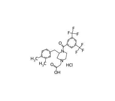 Cc1ccc(CC2CN(CC(=O)O)CCN2C(=O)c2cc(C(F)(F)F)cc(C(F)(F)F)c2)cc1C.Cl